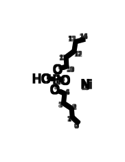 CCCCCOP(=O)(O)OCCCCC.[Ni]